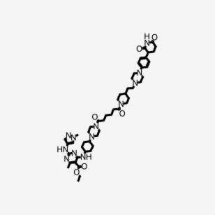 CCOC(=O)c1c(C)nc(Nc2cnn(C)c2)nc1NC1CCC(N2CCN(C(=O)CCCCC(=O)N3CCC(CCN4CCN(c5ccc(C6CCC(=O)NC6=O)cc5)CC4)CC3)CC2)CC1